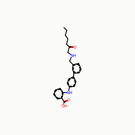 CCCCCC(=O)CNCc1cccc(-c2ccc(Nc3ccccc3C(=O)O)cc2)c1